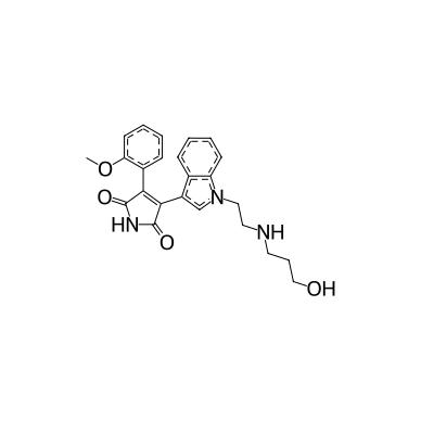 COc1ccccc1C1=C(c2cn(CCNCCCO)c3ccccc23)C(=O)NC1=O